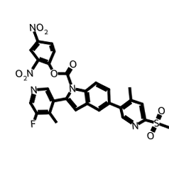 Cc1cc(S(C)(=O)=O)ncc1-c1ccc2c(c1)cc(-c1cncc(F)c1C)n2C(=O)Oc1ccc([N+](=O)[O-])cc1[N+](=O)[O-]